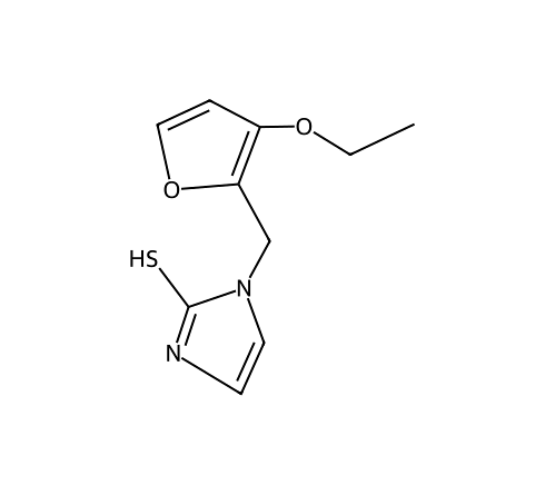 CCOc1ccoc1Cn1ccnc1S